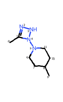 Cc1n[nH]n1N1CCC(C)CC1